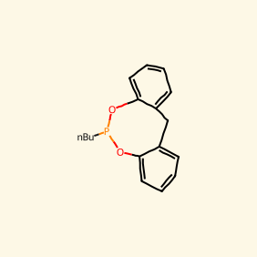 CCCCP1Oc2ccccc2Cc2ccccc2O1